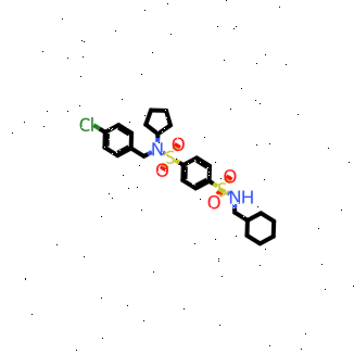 O=S(=O)(NCC1CCCCC1)c1ccc(S(=O)(=O)N(Cc2ccc(Cl)cc2)C2CCCC2)cc1